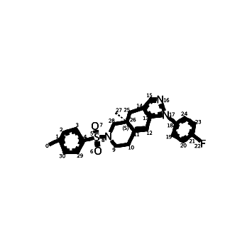 Cc1ccc(S(=O)(=O)N2CCC3=Cc4c(cnn4-c4ccc(F)cc4)C[C@]3(C)C2)cc1